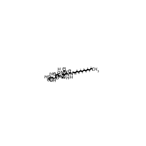 CCCCCCCCCCCCNC(=O)Nc1nc(Cl)nc2c1ncn2[C@@H]1O[C@H](CCP(=O)(O)O)C(O)C1O